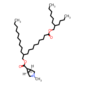 CCCCCCCCCCC(CCCCCCCCC(=O)OCC(CCCC)CCCCCC)COC(=O)C1[C@H]2CN(C)C[C@@H]12